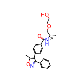 Cc1onc(-c2ccccc2)c1-c1ccc(C(=O)N[C@@H](C)COCCO)cc1